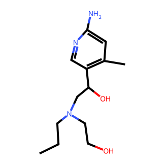 CCCN(CCO)CC(O)c1cnc(N)cc1C